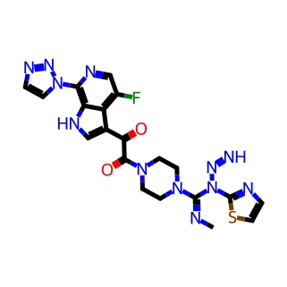 C/N=C(/N1CCN(C(=O)C(=O)c2c[nH]c3c(-n4ccnn4)ncc(F)c23)CC1)N(N=N)c1nccs1